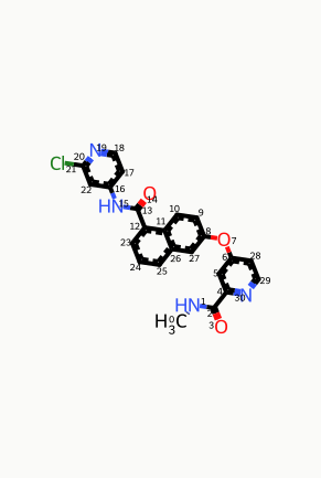 CNC(=O)c1cc(Oc2ccc3c(C(=O)Nc4ccnc(Cl)c4)cccc3c2)ccn1